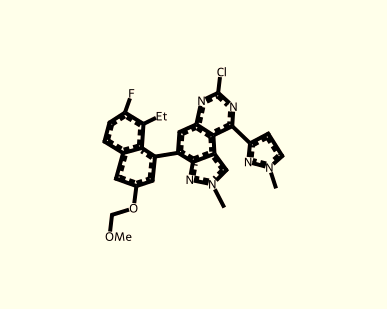 CCc1c(F)ccc2cc(OCOC)cc(-c3cc4nc(Cl)nc(-c5ccn(C)n5)c4c4cn(C)nc34)c12